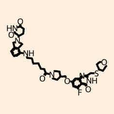 O=C1CCC(N2Cc3cccc(NCCCCCCC(=O)N4CCC(COc5cc(F)c6c(=O)[nH]c(CSC7CCOCC7)nc6c5)CC4)c3C2)C(=O)N1